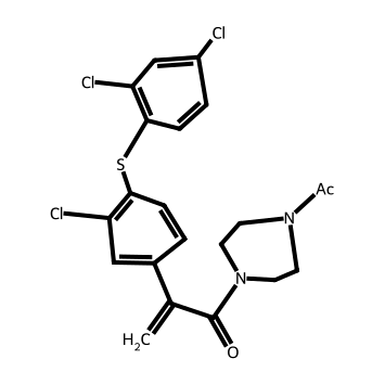 C=C(C(=O)N1CCN(C(C)=O)CC1)c1ccc(Sc2ccc(Cl)cc2Cl)c(Cl)c1